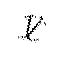 C=C(C)COCCCCCCCCCCC(CCCCCCCCCCOCC(=C)C)(CCCC(=O)O)C(=O)O